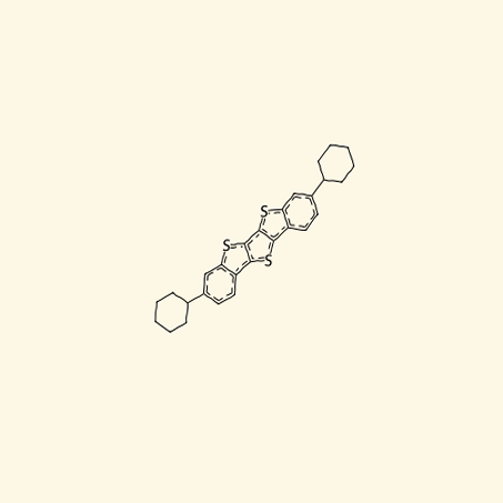 c1cc2c(cc1C1CCCCC1)sc1c2sc2c3ccc(C4CCCCC4)cc3sc21